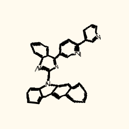 c1cncc(-c2ccc(-c3nc(-n4c5ccccc5c5cc6ccccc6cc54)nc4ccccc34)cn2)c1